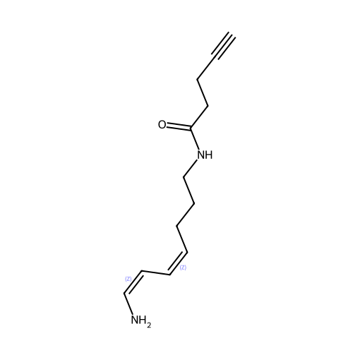 C#CCCC(=O)NCCC/C=C\C=C/N